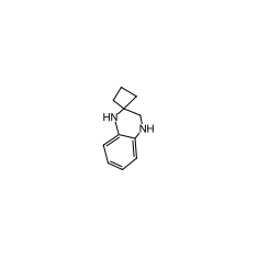 c1ccc2c(c1)NCC1(CCC1)N2